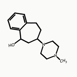 CN1CCN(C2CCc3ccccc3C(O)C2)CC1